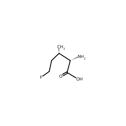 C[C@@H](CCF)[C@H](N)C(=O)O